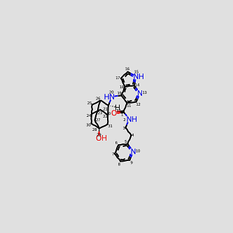 O=C(NCCc1ccccn1)c1cnc2[nH]ccc2c1N[C@H]1C2CC3CC1C[C@@](O)(C3)C2